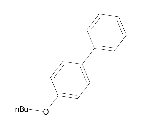 CCCCOc1ccc(-c2ccccc2)cc1